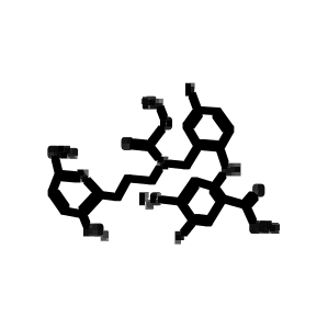 COC(=O)c1cc(F)c(C(F)(F)F)cc1Nc1ccc(F)cc1CN(CCCc1nc(OC)ccc1[N+](=O)[O-])C(=O)OC(C)(C)C